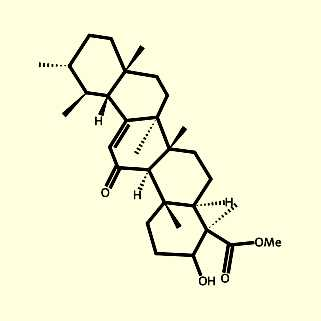 COC(=O)[C@@]1(C)C(O)CC[C@@]2(C)[C@H]1CC[C@]1(C)[C@@H]2C(=O)C=C2[C@@H]3[C@@H](C)[C@H](C)CC[C@]3(C)CC[C@]21C